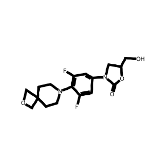 O=C1OC(CO)CN1c1cc(F)c(N2CCC3(CC2)COC3)c(F)c1